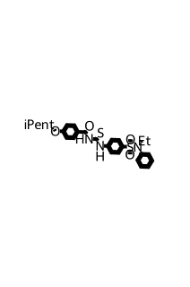 CCCC(C)Oc1ccc(C(=O)NC(=S)Nc2ccc(S(=O)(=O)N(CC)c3ccccc3)cc2)cc1